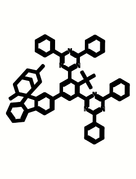 CC1CC2CC(C)C3(c4ccccc4-c4ccc(-c5cc(-c6nc(-c7ccccc7)nc(-c7ccccc7)n6)c(C(C)(C)C)c(-c6nc(-c7ccccc7)nc(-c7ccccc7)n6)c5)cc43)C(C1)C2